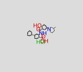 CC1CCCN(c2ccc(O)c(C(=O)Nc3cc(-c4ccccc4)ccc3C(=O)O)c2)C1.Cl